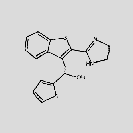 OC(c1cccs1)c1c(C2=NCCN2)sc2ccccc12